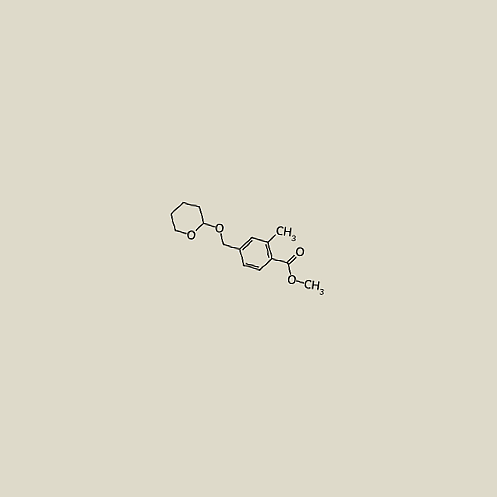 COC(=O)c1ccc(COC2CCCCO2)cc1C